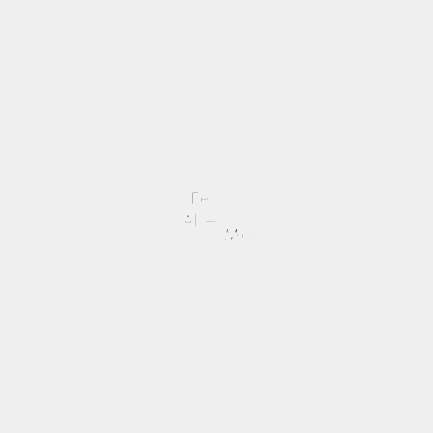 [Al].[Fe].[Mo].[Ti]